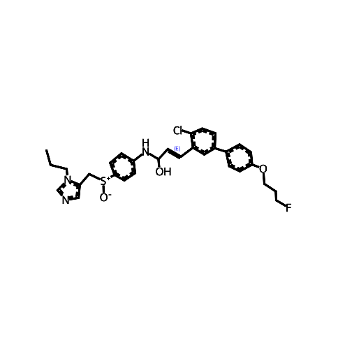 CCCn1cncc1C[S+]([O-])c1ccc(NC(O)/C=C/c2cc(-c3ccc(OCCCF)cc3)ccc2Cl)cc1